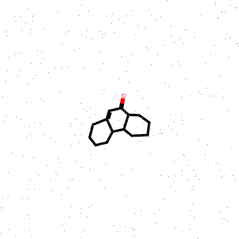 O=C1C=C2CCCCC2C2CCCCC12